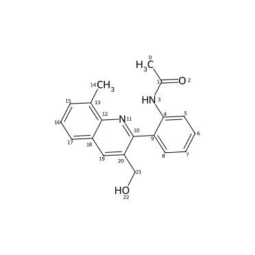 CC(=O)Nc1ccccc1-c1nc2c(C)cccc2cc1CO